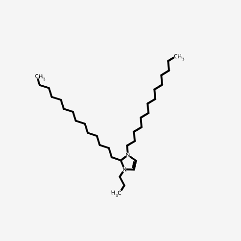 CCCCCCCCCCCCCCC1N(CCC)C=CN1CCCCCCCCCCCCCC